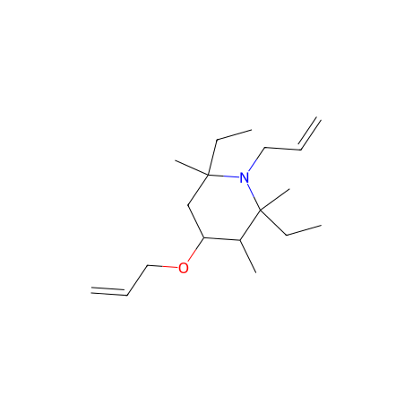 C=CCOC1CC(C)(CC)N(CC=C)C(C)(CC)C1C